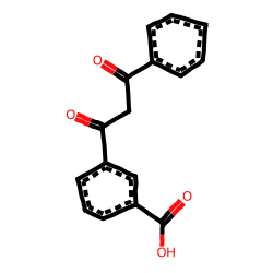 O=C(O)c1cccc(C(=O)CC(=O)c2ccccc2)c1